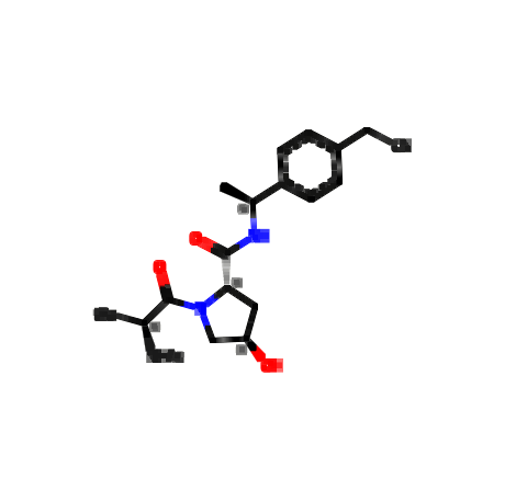 CC(=O)N[C@H](C(=O)N1C[C@H](O)C[C@H]1C(=O)N[C@@H](C)c1ccc(CC#N)cc1)C(C)(C)C